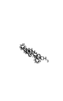 CC(Oc1ccc(C(=O)Nc2nnc(-c3ccccn3)[nH]2)cn1)c1ccccc1